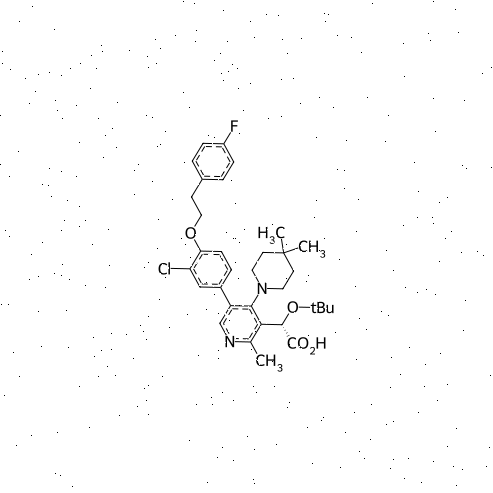 Cc1ncc(-c2ccc(OCCc3ccc(F)cc3)c(Cl)c2)c(N2CCC(C)(C)CC2)c1[C@H](OC(C)(C)C)C(=O)O